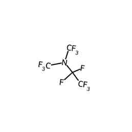 FC(F)(F)N(C(F)(F)F)C(F)(F)C(F)(F)F